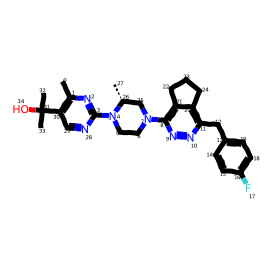 Cc1nc(N2CCN(c3nnc(Cc4ccc(F)cc4)c4c3CCC4)C[C@H]2C)ncc1C(C)(C)O